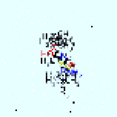 CC(C)(C)[Si](C)(C)N=S(N)(=O)c1cnc([C@@](C)(O)CO[Si](C)(C)C(C)(C)C)s1